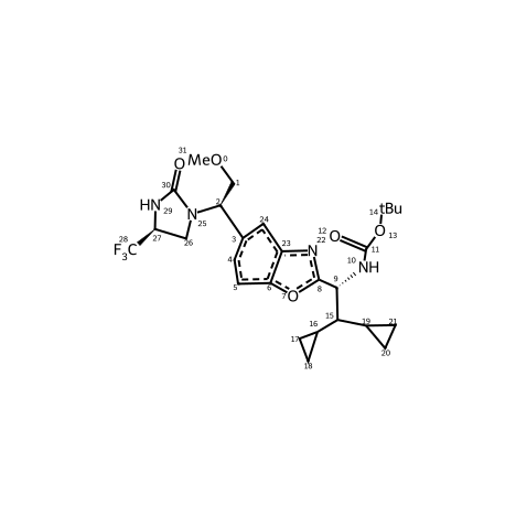 COC[C@@H](c1ccc2oc([C@H](NC(=O)OC(C)(C)C)C(C3CC3)C3CC3)nc2c1)N1C[C@@H](C(F)(F)F)NC1=O